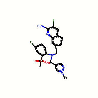 CC(C)n1cc(C(=O)N(Cc2ccc3cc(F)c(N)nc3c2)c2ccc(F)cc2S(C)(=O)=O)cn1